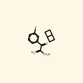 C1CC2CCC12.C=C(C(=O)O)C(=O)c1cccc(F)c1